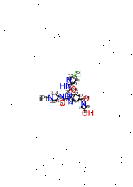 CC(C)N1CCC(NC(=O)c2nc3cc(C(=O)N4CC(O)C4)ccc3n2CC(=O)Nc2ccc(Cl)cn2)CC1